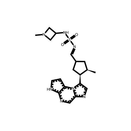 C[C@@H]1CC(/C=N/S(=O)(=O)NC2CN(C)C2)C[C@@H]1c1cnc2cnc3[nH]ccc3n12